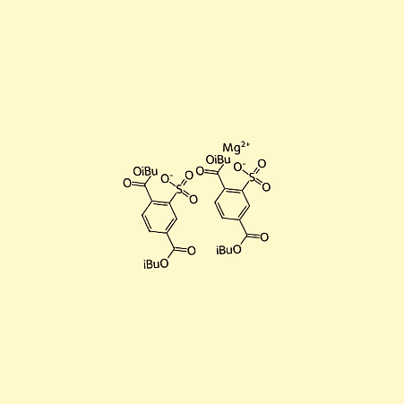 CC(C)COC(=O)c1ccc(C(=O)OCC(C)C)c(S(=O)(=O)[O-])c1.CC(C)COC(=O)c1ccc(C(=O)OCC(C)C)c(S(=O)(=O)[O-])c1.[Mg+2]